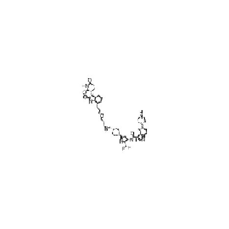 CN(CCCOCCCc1cccc2c1n(C)c(=O)n2C1CCC(=O)NC1=O)C[C@H]1CC[C@H](n2cc(NC(=O)c3cnn4ccc(N5CCNCC5)nc34)c(C(F)F)n2)CC1